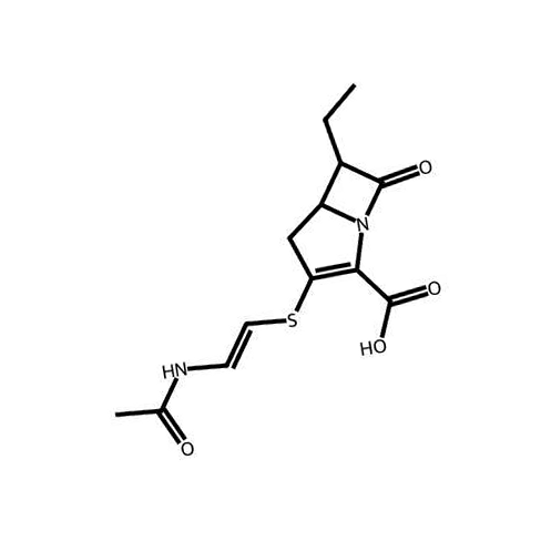 CCC1C(=O)N2C(C(=O)O)=C(S/C=C/NC(C)=O)CC12